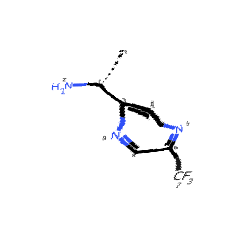 C[C@@H](N)c1cnc(C(F)(F)F)cn1